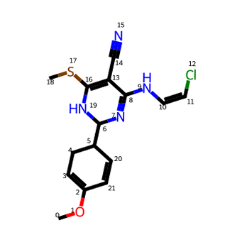 COC1=CCC(C2N=C(N/C=C\Cl)C(C#N)=C(SC)N2)C=C1